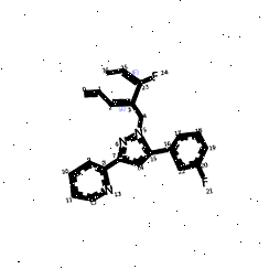 C=C/C=C(Cn1nc(-c2ccccn2)cc1-c1cccc(F)c1)\C(F)=C/C